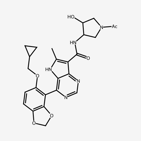 CC(=O)N1CC(O)C(NC(=O)c2c(C)[nH]c3c(-c4c(OCC5CC5)ccc5c4OCO5)ncnc23)C1